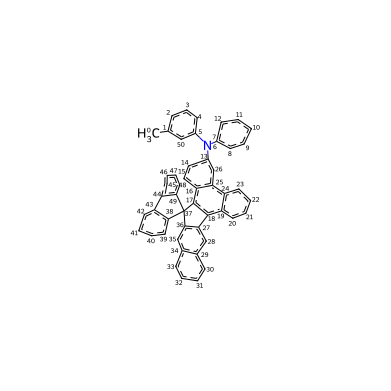 Cc1cccc(N(c2ccccc2)c2ccc3c4c(c5ccccc5c3c2)-c2cc3ccccc3cc2C42c3ccccc3-c3ccccc32)c1